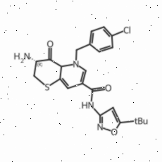 CC(C)(C)c1cc(NC(=O)C2=CN(Cc3ccc(Cl)cc3)C3C(=O)[C@@H](N)CSC3=C2)no1